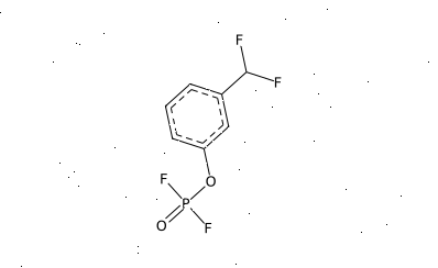 O=P(F)(F)Oc1cccc(C(F)F)c1